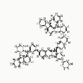 c1ccc(-c2cc3c4cc5ccc(-c6cccc(N(c7ccccc7)c7cccc8c7sc7ccccc78)c6)cc5cc4n4c5cc6cc(-c7cccc(N(c8ccccc8)c8cccc9c8sc8ccccc89)c7)ccc6cc5c(c2)c34)cc1